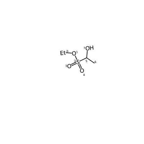 CCOS(=O)(=O)C(C)O